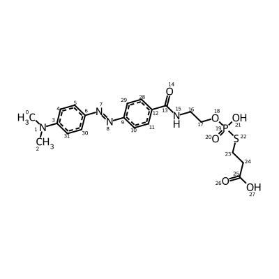 CN(C)c1ccc(/N=N/c2ccc(C(=O)NCCOP(=O)(O)SCCC(=O)O)cc2)cc1